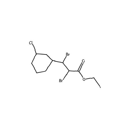 CCOC(=O)C(Br)C(Br)C1CCCC(Cl)C1